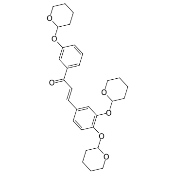 O=C(C=Cc1ccc(OC2CCCCO2)c(OC2CCCCO2)c1)c1cccc(OC2CCCCO2)c1